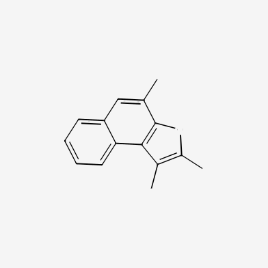 Cc1oc2c(C)cc3ccccc3c2c1C